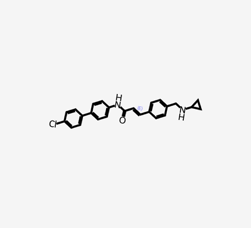 O=C(/C=C/c1ccc(CNC2CC2)cc1)Nc1ccc(-c2ccc(Cl)cc2)cc1